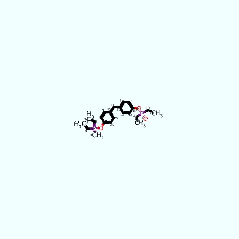 C=P(CC)(CC)Oc1ccc(Cc2ccc(OP(=O)(CC)CC)cc2)cc1